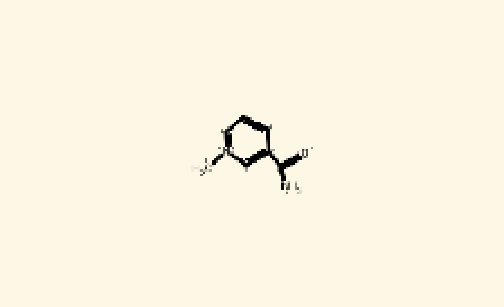 [CH2][n+]1cccc(C(N)=O)c1